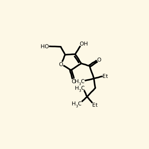 CCC(C)(C)CC(C)(CC)C(=O)C1=C(O)C(CO)OC1=O